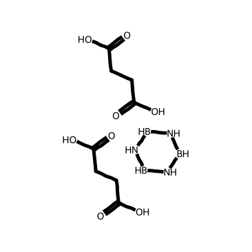 B1NBNBN1.O=C(O)CCC(=O)O.O=C(O)CCC(=O)O